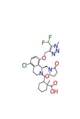 C[C@H]1CCC(=O)N1C[C@@H]1c2c(OCc3nnn(C)c3C(F)F)ccc(Cl)c2CCN1C(=O)C1CCCCC1(C)C(=O)O